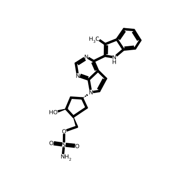 Cc1c(-c2ncnc3c2ccn3[C@@H]2C[C@@H](COS(N)(=O)=O)[C@@H](O)C2)[nH]c2ccccc12